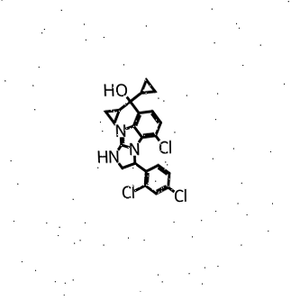 OC(c1ccc(Cl)c2c1nc1n2C(c2ccc(Cl)cc2Cl)CN1)(C1CC1)C1CC1